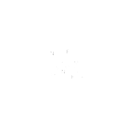 CN=S1(=O)C(C)(C)C=NCC1(CF)OC(=O)C(F)(F)F